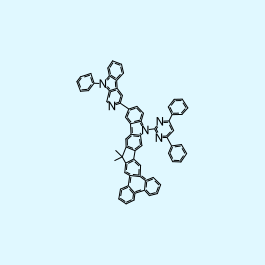 CC1(C)c2cc3c4ccccc4c4ccccc4c3cc2-c2cc3c(cc21)c1cc(-c2cc4c5ccccc5n(-c5ccccc5)c4cn2)ccc1n3-c1nc(-c2ccccc2)cc(-c2ccccc2)n1